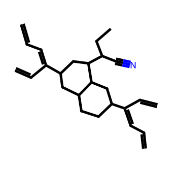 C=C/C=C(\C=C)C1CC2CCC(/C(C=C)=C/C=C)CC2C(C(C#N)CC)C1